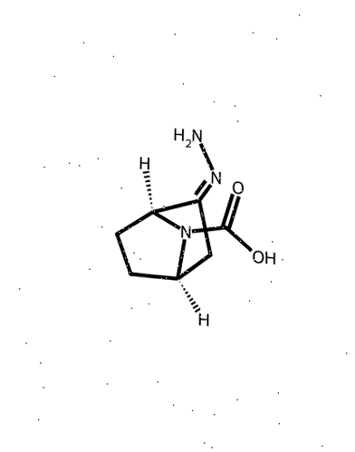 N/N=C1/C[C@H]2CC[C@@H]1N2C(=O)O